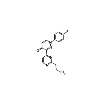 CCCc1nccc(-c2nn(-c3ccc(F)cc3)ccc2=O)n1